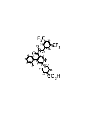 Cc1ccccc1-c1cc(N2CCC(C(=O)O)CC2)ncc1C(=O)N(C)Cc1cc(C(F)(F)F)cc(C(F)(F)F)c1